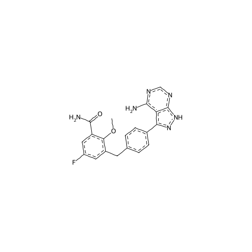 COc1c(Cc2ccc(-c3n[nH]c4ncnc(N)c34)cc2)cc(F)cc1C(N)=O